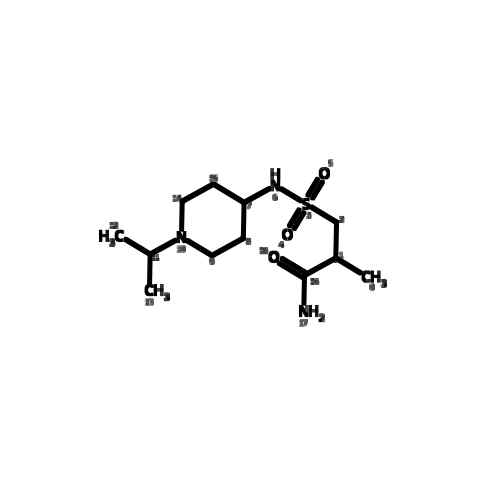 C[C](CS(=O)(=O)NC1CCN(C(C)C)CC1)C(N)=O